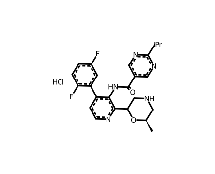 CC(C)c1ncc(C(=O)Nc2c(-c3cc(F)ccc3F)ccnc2C2CNC[C@@H](C)O2)cn1.Cl